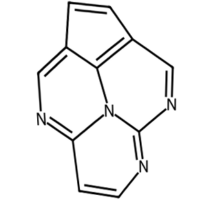 c1cc2ncc3ccc4cnc(n1)n2c34